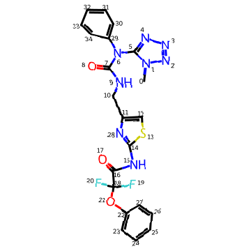 Cn1nnnc1N(C(=O)NCc1csc(NC(=O)C(F)(F)Oc2ccccc2)n1)c1ccccc1